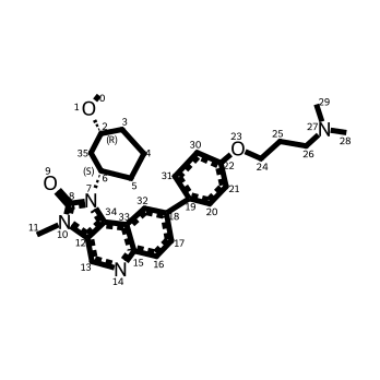 CO[C@@H]1CCC[C@H](n2c(=O)n(C)c3cnc4ccc(-c5ccc(OCCCN(C)C)cc5)cc4c32)C1